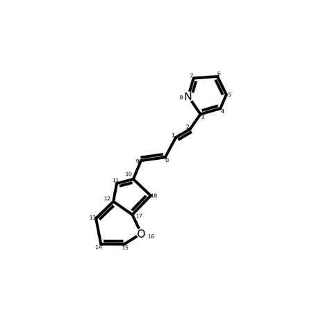 C(C=Cc1ccccn1)=Cc1cc2cccoc-2c1